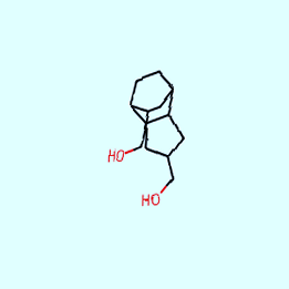 OCC1CC2C3CCC(C(CO)C3)C2C1